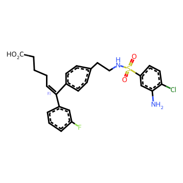 Nc1cc(S(=O)(=O)NCCc2ccc(/C(=C\CCCC(=O)O)c3cccc(F)c3)cc2)ccc1Cl